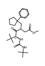 COC(=O)CN(CC1(c2ccccc2)CCCC1)C(=O)[C@@H](NC(=O)NC(C)(C)C)C(C)(C)C